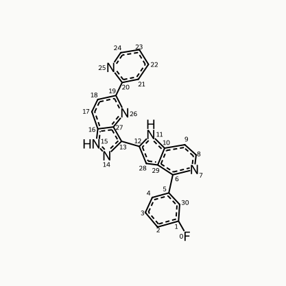 Fc1cccc(-c2nccc3[nH]c(-c4n[nH]c5ccc(-c6ccccn6)nc45)cc23)c1